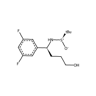 CC(C)(C)[S@@+]([O-])N[C@@H](CCCO)c1cc(F)cc(F)c1